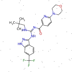 CC(C)(C)CN/C(=N/C(=O)c1ccc(N2CCOCC2)nc1)Nc1n[nH]c2cc(C(F)(F)F)ccc12